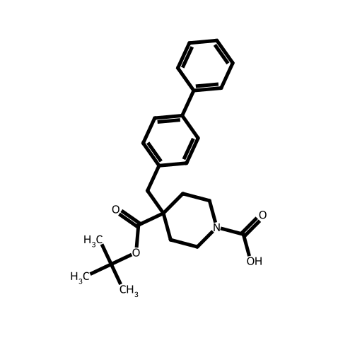 CC(C)(C)OC(=O)C1(Cc2ccc(-c3ccccc3)cc2)CCN(C(=O)O)CC1